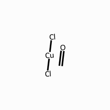 C=O.[Cl][Cu][Cl]